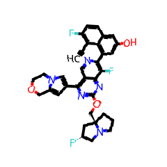 C#Cc1c(F)ccc2cc(O)cc(-c3ncc4c(-c5cc6n(c5)CCOC6)nc(OC[C@@]56CCCN5C[C@H](F)C6)nc4c3F)c12